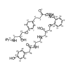 COC(=O)CCc1ccc(OCC(O)CNC(C)C)cc1.N#Cc1ccccc1OCC(O)CNCCNC(=O)Cc1ccc(O)cc1